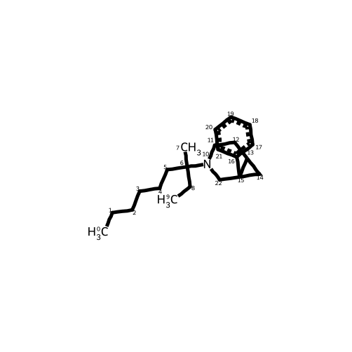 CCCCCCC(C)(CC)N1CCC2CC2(c2ccccc2)C1